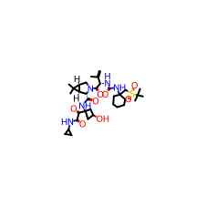 C=C(C)[C@H](NC(=O)NC1(CS(=O)(=O)C(C)(C)C)CCCCC1)C(=O)N1C[C@H]2[C@@H]([C@H]1C(=O)NC1(C(=O)C(=O)NC3CC3)CC(O)C1)C2(C)C